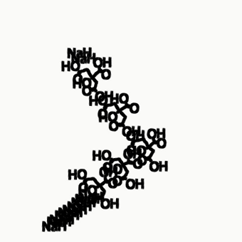 O=C(O)CC(O)(CC(=O)O)C(=O)O.O=C(O)CC(O)(CC(=O)O)C(=O)O.O=C(O)CC(O)(CC(=O)O)C(=O)O.O=C(O)CC(O)(CC(=O)O)C(=O)O.O=C(O)CC(O)(CC(=O)O)C(=O)O.[NaH].[NaH].[NaH].[NaH].[NaH].[NaH].[NaH].[NaH].[NaH].[NaH].[NaH].[NaH]